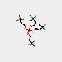 FC(F)(F)CCOC(OCCC(F)(F)F)(OCCC(F)(F)F)OCCC(F)(F)F